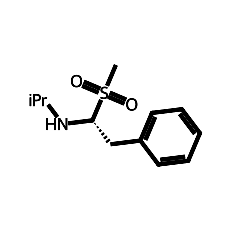 CC(C)N[C@@H](Cc1ccccc1)S(C)(=O)=O